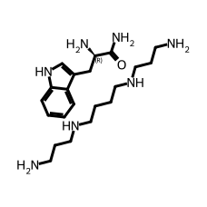 NC(=O)[C@H](N)Cc1c[nH]c2ccccc12.NCCCNCCCCNCCCN